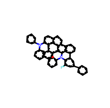 Fc1cc(-c2ccccc2)cc(-c2ccccc2)c1N(c1ccccc1)c1ccc2ccc3ccc(N(c4ccccc4)c4ccccc4)c4c5ccccc5c1c2c34